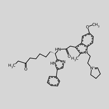 CCC(=O)CCCCC[C@H](NC(=O)Cc1c(C)n(CC[N+]2=CCCC2)c2ccc(OC)cc12)c1ncc(-c2ccccc2)[nH]1